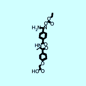 CCOC(=O)O/N=C(\N)c1ccc(C(=O)N[C@H](C)C(=O)c2ccc(OCC(=O)O)cc2)cc1